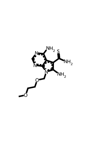 COCCOCn1c(N)c(C(N)=S)c2c(N)ncnc21